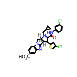 O=C(O)c1ccc2c(c1)nc1n2C[C@H]2[C@@H]1C(c1cc(Cl)cs1)C(C(=O)Nc1cccc(Cl)c1)N2CC1CC1